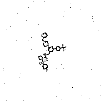 O=C(NCc1cc(-c2ccc(C(F)(F)F)cc2)nc(N2CCN(Cc3ccccn3)CC2)c1)[C@@H]1CCCN1S(=O)(=O)c1ccc(F)cc1